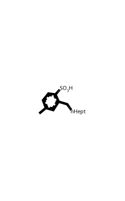 CCCCCCCCc1cc(C)ccc1S(=O)(=O)O